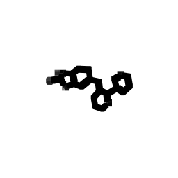 O=C1[N]c2cc(C=C3CCCN=C3c3cccnc3)ccc2N1